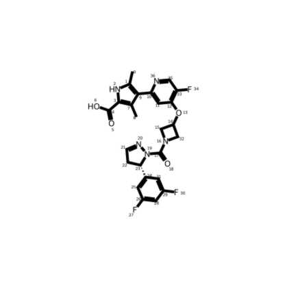 Cc1[nH]c(C(=O)O)c(C)c1-c1cc(OC2CN(C(=O)N3N=CC[C@H]3c3cc(F)cc(F)c3)C2)c(F)cn1